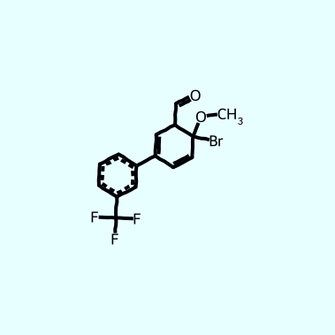 COC1(Br)C=CC(c2cccc(C(F)(F)F)c2)=CC1C=O